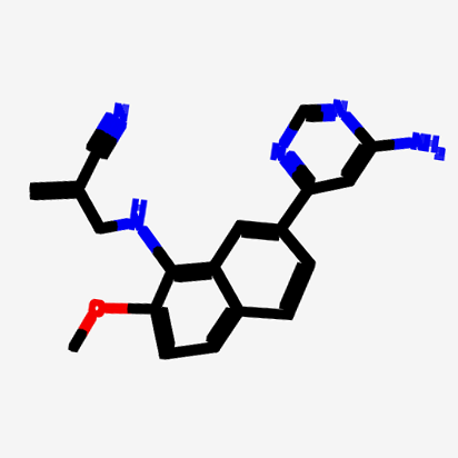 C=C(C#N)CNc1c(OC)ccc2ccc(-c3cc(N)ncn3)cc12